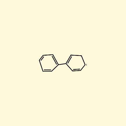 [C]1C=CC(c2ccccc2)=CC1